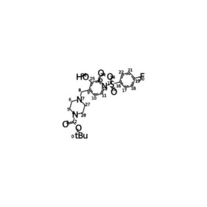 CC(C)(C)OC(=O)N1CCN(Cc2ccn(S(=O)(=O)c3ccc(F)cc3)c(=O)c2O)CC1